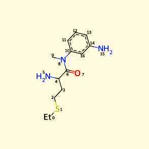 CCSCCC(N)C(=O)N(C)c1cccc(N)c1